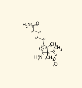 CC(CC=O)C(C)(C(N)=O)C(C)CCCCCC(N)=O